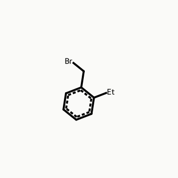 [CH2]Cc1ccccc1CBr